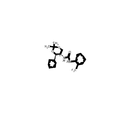 CC1(C)OC[C@H](NC(=O)Nc2ccccc2C(F)(F)F)[C@@H](c2ccccc2)O1